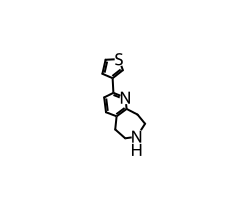 c1cc(-c2ccc3c(n2)CCNCC3)cs1